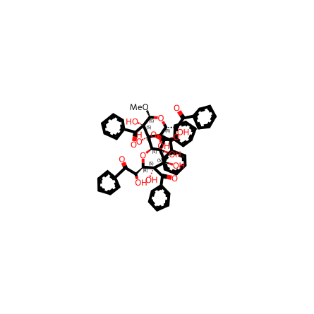 CO[C@H]1O[C@H](C(O)C(=O)c2ccccc2)[C@](O)(C(=O)c2ccccc2)[C@@](O)([C@@H]2O[C@H](C(O)C(=O)c3ccccc3)[C@](O)(C(=O)c3ccccc3)[C@H](O)[C@@]2(O)C(=O)c2ccccc2)[C@@]1(O)C(=O)c1ccccc1